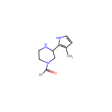 CCC(=O)N1CCNC(c2[nH]ccc2C)C1